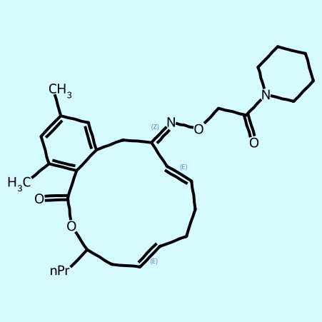 CCCC1C/C=C/CC/C=C/C(=N\OCC(=O)N2CCCCC2)Cc2cc(C)cc(C)c2C(=O)O1